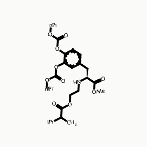 CCCOC(=O)Oc1ccc(C[C@H](NCCOC(=O)C(C)C(C)C)C(=O)OC)cc1OC(=O)OCCC